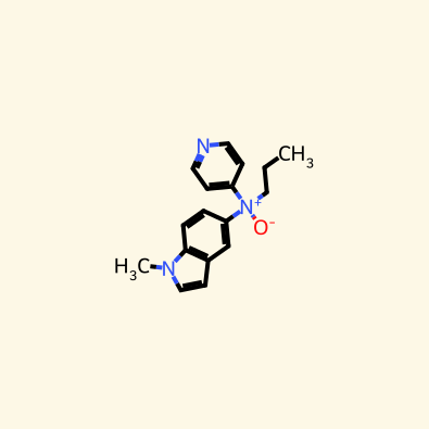 CCC[N+]([O-])(c1ccncc1)c1ccc2c(ccn2C)c1